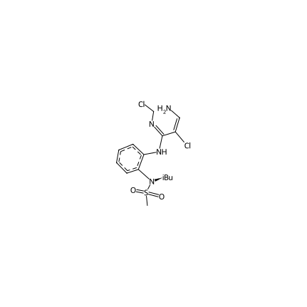 CC[C@H](C)N(c1ccccc1NC(=N/CCl)/C(Cl)=C\N)S(C)(=O)=O